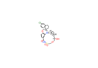 O=C1NS(=O)(=O)CCOC[C@H](O)C[C@H]2CC[C@H]2CN2C[C@@]3(CCCc4cc(Cl)ccc43)COc3ccc1cc32